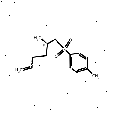 C=CCC[C@@H](C)CS(=O)(=O)c1ccc(C)cc1